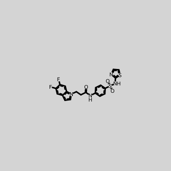 O=C(CCn1ccc2cc(F)c(F)cc21)Nc1ccc(S(=O)(=O)Nc2nccs2)cc1